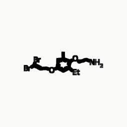 CCc1cc(OCC=C(Br)Br)cc(C)c1OCCN